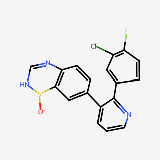 [O-][S+]1NC=Nc2ccc(-c3cccnc3-c3ccc(F)c(Cl)c3)cc21